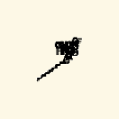 CCCCCCCCCCCCCCCCOc1cc(NS(=O)(=O)c2cc([N+](=O)[O-])ccc2N2CCOCC2)c(OC(C)=O)cc1C